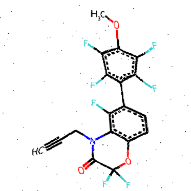 C#CCN1C(=O)C(F)(F)Oc2ccc(-c3c(F)c(F)c(OC)c(F)c3F)c(F)c21